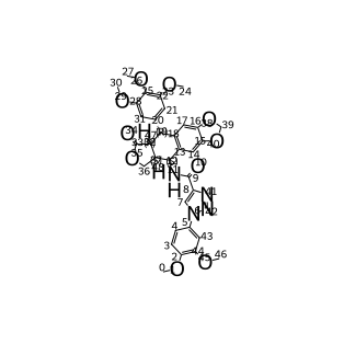 COc1ccc(-n2cc(C(=O)N[C@@H]3c4cc5c(cc4[C@@H](c4cc(OC)c(OC)c(OC)c4)[C@H]4C(=O)OC[C@@H]43)OCO5)nn2)cc1OC